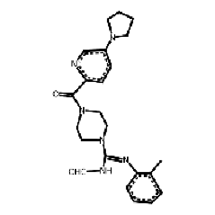 Cc1ccccc1/N=C(\NC=O)N1CCN(C(=O)c2ccc(N3CCCC3)cn2)CC1